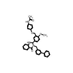 COc1ccc(C2Nc3ccccc3C(=O)N2Cc2cccc(-c3ccccc3)c2)cc1COc1ccc(NC(C)=O)cc1